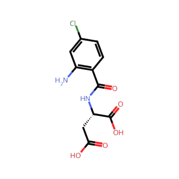 Nc1cc(Cl)ccc1C(=O)N[C@@H](CC(=O)O)C(=O)O